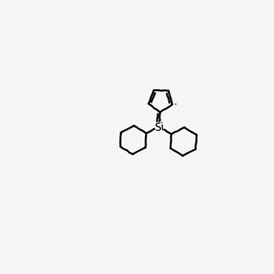 [C]1=CC=CC1=[Si](C1CCCCC1)C1CCCCC1